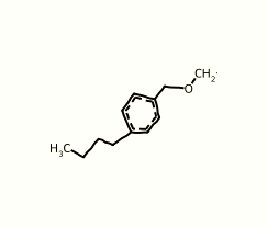 [CH2]OCc1ccc(CCCC)cc1